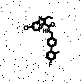 CCc1nc2cc(Cl)ccn2c1C(=O)NCc1ccc(-c2ccc(F)cc2C)cc1